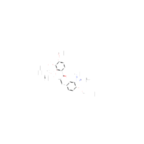 CCOc1ccc(C=C(C)C(=O)c2ccc(OC)c(OC)c2OC)cc1N(C)C